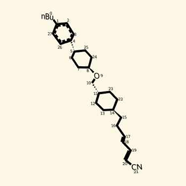 CCCCc1ccc([C@H]2CC[C@H](OC[C@H]3CC[C@H](CCC=CC=CC#N)CC3)CC2)cc1